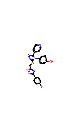 Cc1ccc(-c2noc(CSc3nnc(-c4ccncc4)n3-c3ccc(O)cc3)n2)cc1